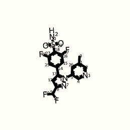 Cc1cncc(-n2nc(C(F)F)cc2-c2cc(F)c(S(N)(=O)=O)c(F)c2)c1